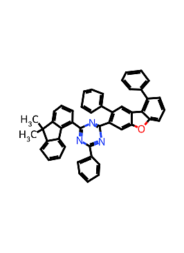 CC1(C)c2ccccc2-c2c(-c3nc(-c4ccccc4)nc(-c4cc5oc6cccc(-c7ccccc7)c6c5cc4-c4ccccc4)n3)cccc21